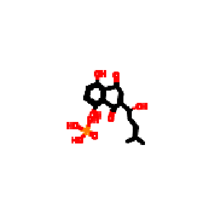 CC(C)=CC[C@@H](O)C1=CC(=O)c2c(O)ccc(O)c2C1=O.O=P(O)(O)O